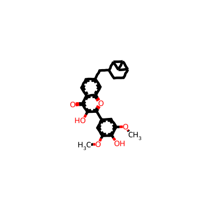 COc1cc(-c2oc3cc(CC4CCC5C6C4C56)ccc3c(=O)c2O)cc(OC)c1O